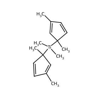 CC1=C[C](C)([Ti]([CH3])([CH3])[C]2(C)C=CC(C)=C2)C=C1